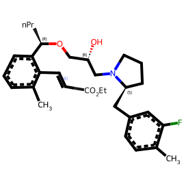 CCC[C@@H](OC[C@H](O)CN1CCC[C@H]1Cc1ccc(C)c(F)c1)c1cccc(C)c1/C=C/C(=O)OCC